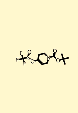 CC(C)(C)OC(=O)N1CC=C(OS(=O)C(F)(F)F)CC1